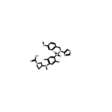 COc1ccc(CN(c2cscn2)S(=O)(=O)c2cc(C)c(N(C)C3CCN(C(=O)O)C3)cc2F)cc1